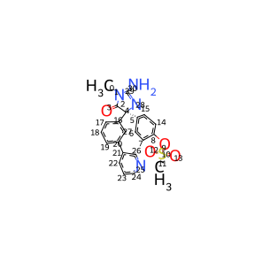 CN1C(=O)[C@](c2ccc(OS(C)(=O)=O)cc2)(c2cccc(-c3cccnc3)c2)N=C1N